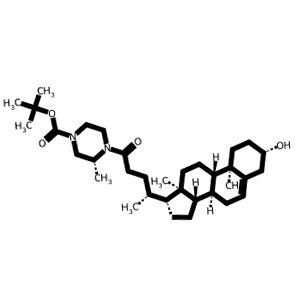 C[C@H](CCC(=O)N1CCN(C(=O)OC(C)(C)C)C[C@H]1C)[C@H]1CC[C@H]2[C@@H]3CC=C4C[C@@H](O)CC[C@]4(C)[C@H]3CC[C@]12C